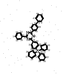 c1ccc(-c2ccc(-c3nc(-c4ccccc4)nc(-c4ccc(S(c5ccccc5)(c5ccccc5)c5ccccc5)cc4)n3)cc2)cc1